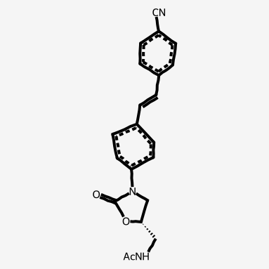 CC(=O)NC[C@H]1CN(c2ccc(C=Cc3ccc(C#N)cc3)cc2)C(=O)O1